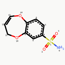 NS(=O)(=O)c1ccc2c(c1)OCC=CO2